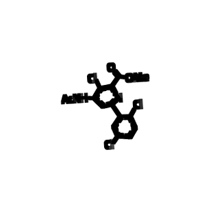 COC(=O)c1nc(-c2cc(Cl)ccc2Cl)cc(NC(C)=O)c1Cl